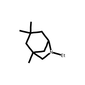 CCN1CC2(C)CC1CC(C)(C)C2